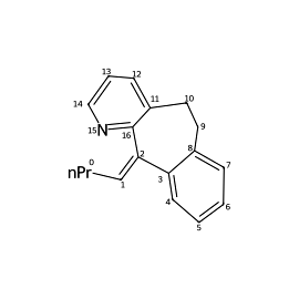 CCC/C=C1/c2ccccc2CCc2cccnc21